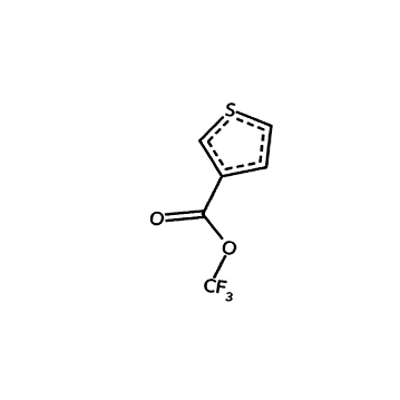 O=C(OC(F)(F)F)c1ccsc1